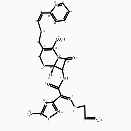 C=CCON=C(C(=O)NC1C(=O)N2C(C(=O)O)=C(CS/C=C\c3ccccn3)CS[C@@H]12)c1nsc(N)n1